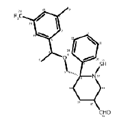 Cc1cc(C(C)OC[C@@]2(c3ccccc3)CCC(C=O)CN2S)cc(C(F)(F)F)c1